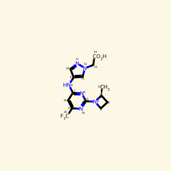 C[C@H]1CCN1c1nc(Nc2cnn(CC(=O)O)c2)cc(C(F)(F)F)n1